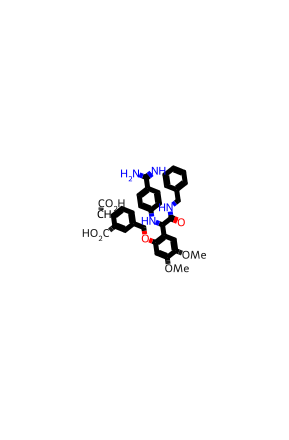 CC(=O)O.COc1cc(OCc2cccc(C(=O)O)c2)c(C(Nc2ccc(C(=N)N)cc2)C(=O)NCc2ccccc2)cc1OC